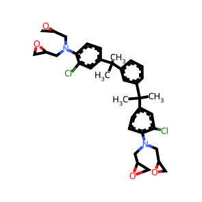 CC(C)(c1cccc(C(C)(C)c2ccc(N(CC3CO3)CC3CO3)c(Cl)c2)c1)c1ccc(N(CC2CO2)CC2CO2)c(Cl)c1